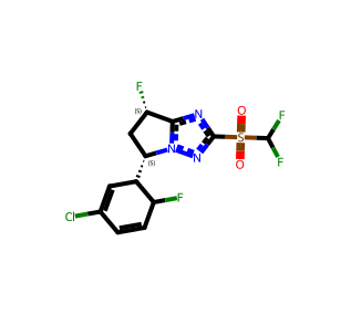 O=S(=O)(c1nc2n(n1)[C@H](C1C=C(Cl)C=CC1F)C[C@@H]2F)C(F)F